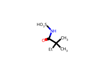 CCC(C)(C)C(=O)NS(=O)(=O)O